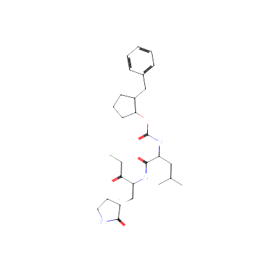 CC(C)CC(NC(=O)OC1CCCC1Cc1ccccc1)C(=O)NC(C[C@@H]1CCNC1=O)C(=O)CCl